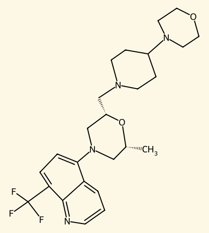 C[C@@H]1CN(c2ccc(C(F)(F)F)c3ncccc23)C[C@H](CN2CCC(N3CCOCC3)CC2)O1